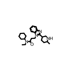 CCN(C(=O)CCn1c(C2CCC(C)NC2)nc2ccccc21)C1CCCCC1